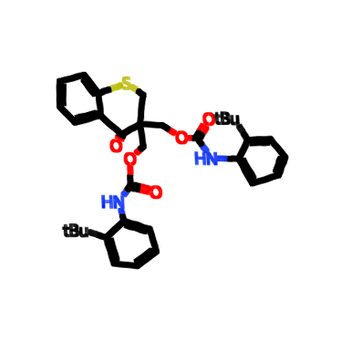 CC(C)(C)c1ccccc1NC(=O)OCC1(COC(=O)Nc2ccccc2C(C)(C)C)CSc2ccccc2C1=O